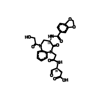 O=C[C@H](CC(=O)O)NC(=O)CN1C(=O)[C@@H](NC(=O)c2ccc3c(c2)OCO3)CN(C(=O)CO)c2ccccc21